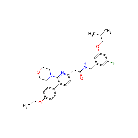 CCOc1ccc(-c2ccc(CC(=O)NCc3cc(F)cc(OCC(C)C)c3)nc2N2CCOCC2)cc1